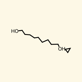 OCCCCCCCCCO.[CH]1CC1